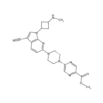 CNC1CC(n2cc(C#N)c3ccc(N4CCN(c5cnc(C(=O)OC)cn5)CC4)nc32)C1